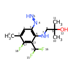 Cc1cc(N=N)c(NCC(C)(C)O)c(C(F)F)c1F